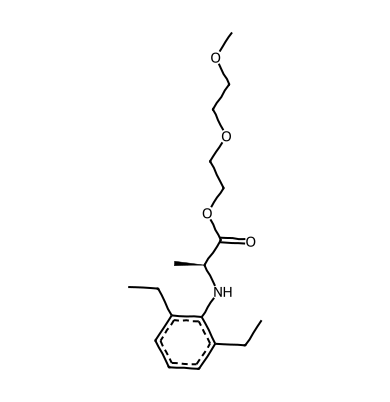 CCc1cccc(CC)c1N[C@@H](C)C(=O)OCCOCCOC